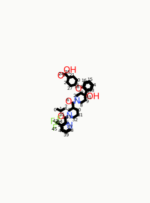 CCC[C@@H]1C(C(=O)N2CCC(O)(c3ccccc3OC3CCC(C(=O)O)CC3)CC2)CCCN1C(=O)c1ncccc1C(F)(F)F